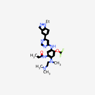 C=CC(=O)Nc1cc(Nc2cc(-c3ccc4c(cnn4CC)c3)ncn2)c(OC(F)F)cc1N(C)CCN(C)C